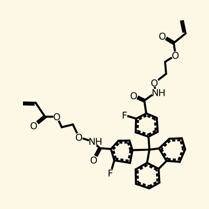 C=CC(=O)OCCONC(=O)c1ccc(C2(c3ccc(C(=O)NOCCOC(=O)C=C)c(F)c3)c3ccccc3-c3ccccc32)cc1F